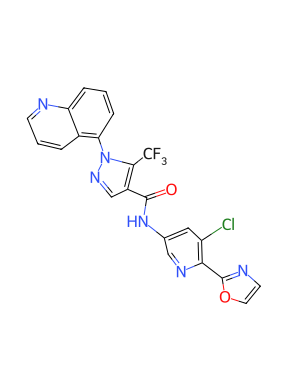 O=C(Nc1cnc(-c2ncco2)c(Cl)c1)c1cnn(-c2cccc3ncccc23)c1C(F)(F)F